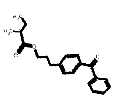 CC[C@H](C)C(=O)OCCCc1ccc(C(=O)c2ccccc2)cc1